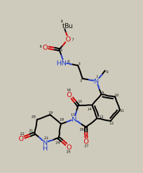 CN(CCNC(=O)OC(C)(C)C)c1cccc2c1C(=O)N(C1CCC(=O)NC1=O)C2=O